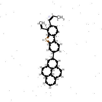 C=Cc1c(/C=C\C)ccc2c1sc1cc(-c3cc4ccc5cccc6ccc(c3)c4c56)ccc12